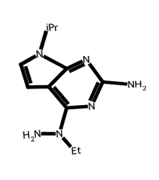 CCN(N)c1nc(N)nc2c1ccn2C(C)C